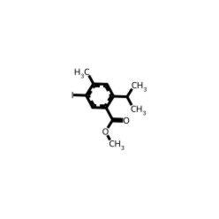 COC(=O)c1cc(I)c(C)cc1C(C)C